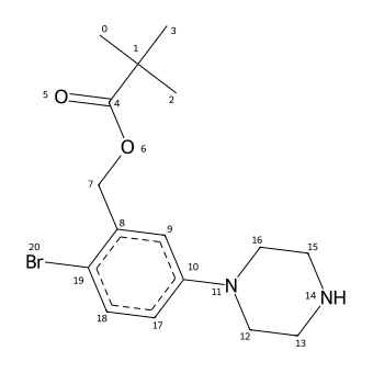 CC(C)(C)C(=O)OCc1cc(N2CCNCC2)ccc1Br